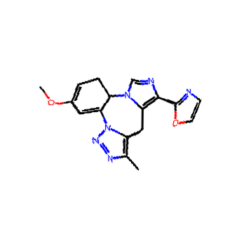 COC1=CCC2C(=C1)n1nnc(C)c1Cc1c(-c3ncco3)ncn12